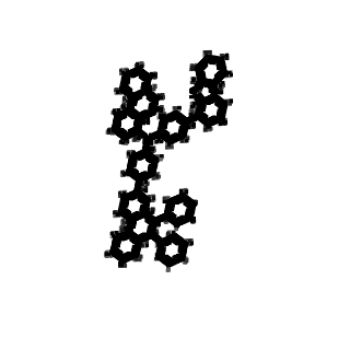 c1ccc(-c2c(-c3ccccc3)c3cc(-c4ccc(N(c5ccc(-c6cccc7c6sc6ccccc67)cc5)c5cccc6c5ccc5ccccc56)cc4)ccc3c3ccccc23)cc1